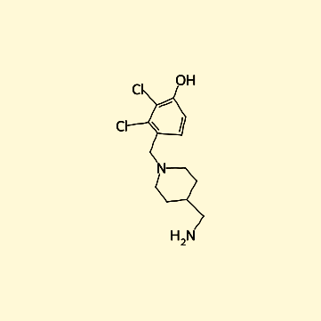 NCC1CCN(Cc2ccc(O)c(Cl)c2Cl)CC1